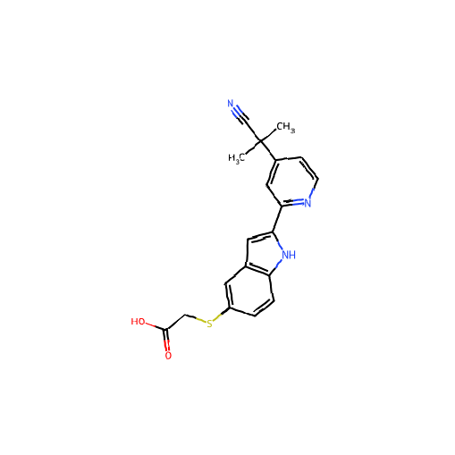 CC(C)(C#N)c1ccnc(-c2cc3cc(SCC(=O)O)ccc3[nH]2)c1